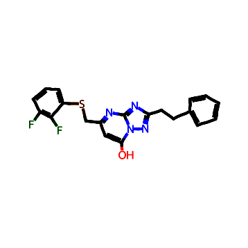 Oc1cc(CSc2cccc(F)c2F)nc2nc(CCc3ccccc3)nn12